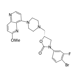 COc1ccc2nccc(N3CCN(C[C@@H]4CN(c5ccc(Br)c(F)c5)C(=O)O4)CC3)c2n1